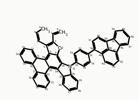 C=Cc1oc2c(c1/C=C\C)c1c3ccccc3c3ccccc3c1c1c3ccccc3n(-c3ccc(-c4ccc5c6c(cccc46)-c4ccccc4-5)cc3)c21